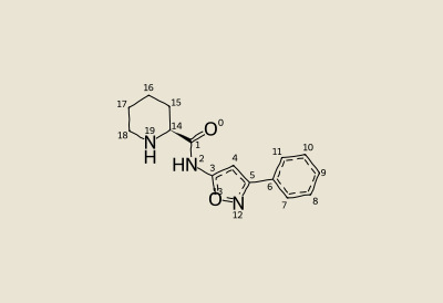 O=C(Nc1cc(-c2ccccc2)no1)[C@@H]1CCCCN1